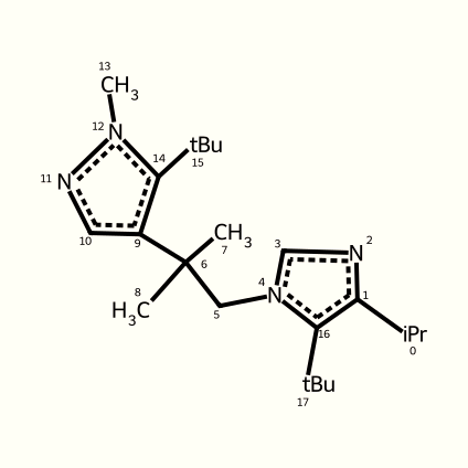 CC(C)c1ncn(CC(C)(C)c2cnn(C)c2C(C)(C)C)c1C(C)(C)C